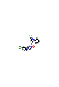 O=C(COc1cc(C(F)(F)F)nn1C1CC=CCC1Cl)N1CCN(Cc2ccc(Cl)cc2)CC1